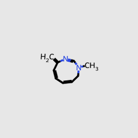 C=C1/C=C\C=C/CN(C)/C=N\1